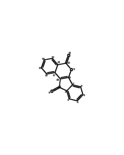 O=C1c2ccccc2-c2oc(=O)c3ccccc3c21